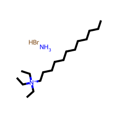 Br.CCCCCCCCCCCC[N+](CC)(CC)CC.N